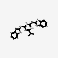 CC(C)c1nc(Nc2nc3ccccc3s2)nc(Nc2nc3ccccc3s2)n1